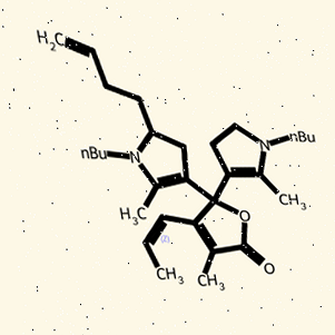 C=CCCC1CC(C2(C3=C(C)N(CCCC)CC3)OC(=O)C(C)=C2/C=C\C)=C(C)N1CCCC